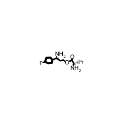 CC(C)[C@H](N)C(=O)OCC[C@H](N)c1ccc(F)cc1